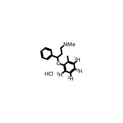 Cl.[2H]c1c([2H])c([2H])c(OC(CCNC)c2ccccc2)c(C)c1[2H]